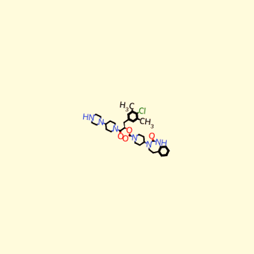 Cc1cc(C[C@@H](OC(=O)N2CCC(N3CCc4ccccc4NC3=O)CC2)C(=O)N2CCC(N3CCNCC3)CC2)cc(C)c1Cl